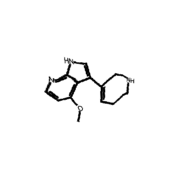 COc1ccnc2[nH]cc(C3=CCCNC3)c12